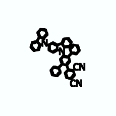 N#Cc1ccc(-c2cc(-c3ccccc3)c(-n3c4ccccc4c4cc(-n5c6ccccc6c6ccccc65)ccc43)cc2-c2ccccc2)c(C#N)c1